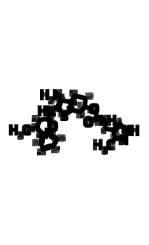 Cc1n[nH]cc1CNC(=O)OC1CCc2c(sc(NC(=O)CC(C)c3ccccn3)c2N)C1